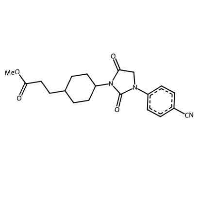 COC(=O)CCC1CCC(N2C(=O)CN(c3ccc(C#N)cc3)C2=O)CC1